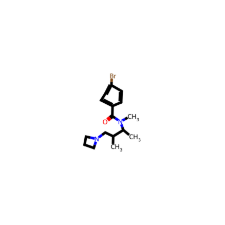 CC(CN1CCC1)C(C)N(C)C(=O)c1ccc(Br)cc1